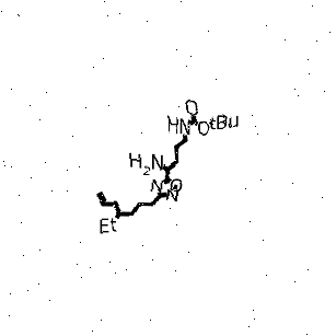 C=CCC(CC)CCCc1noc(C(N)CCCNC(=O)OC(C)(C)C)n1